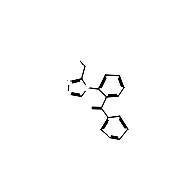 O=C(c1ccccc1)c1ccccc1-n1cnnc1CO